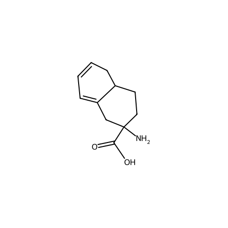 NC1(C(=O)O)CCC2CC=CC=C2C1